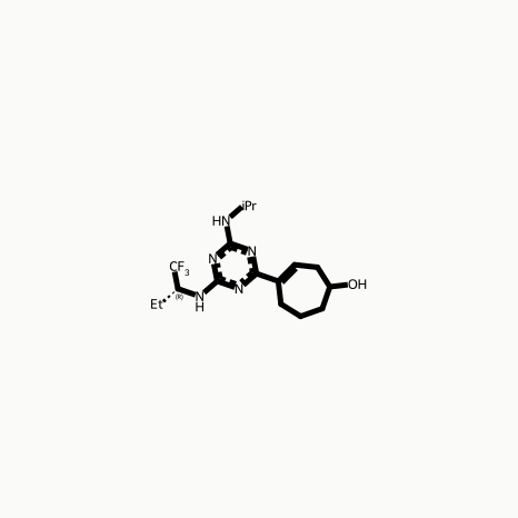 CC[C@@H](Nc1nc(NC(C)C)nc(C2=CCC(O)CCC2)n1)C(F)(F)F